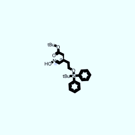 CC(C)(C)OC(=O)C[C@H](/C=N/O)CCO[Si](c1ccccc1)(c1ccccc1)C(C)(C)C